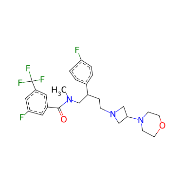 CN(CC(CCN1CC(N2CCOCC2)C1)c1ccc(F)cc1)C(=O)c1cc(F)cc(C(F)(F)F)c1